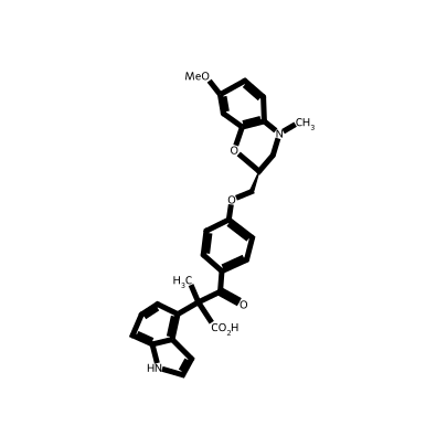 COc1ccc2c(c1)O[C@H](COc1ccc(C(=O)C(C)(C(=O)O)c3cccc4[nH]ccc34)cc1)CN2C